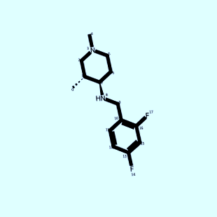 C[C@@H]1CN(C)CC[C@H]1NCc1ccc(F)cc1F